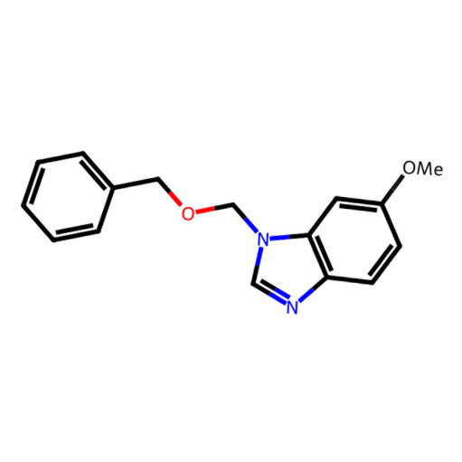 COc1ccc2ncn(COCc3ccccc3)c2c1